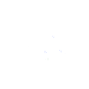 Nc1nc2ccccc2n1Cl